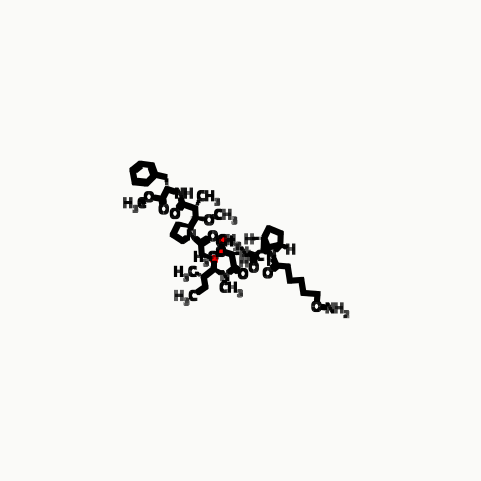 CC[C@H](C)[C@@H]([C@@H](CC(=O)N1CCC[C@H]1[C@H](OC)[C@@H](C)C(=O)N[C@@H](Cc1ccccc1)C(=O)OC)OC)N(C)C(=O)[C@@H](NC(=O)[C@@H]1[C@H]2CC[C@@H]([C@H]2C)N1C(=O)CCCCCON)C(C)C